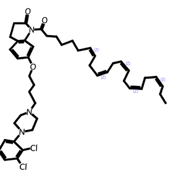 CC/C=C\C/C=C\C/C=C\C/C=C\C/C=C\CCCCCC(=O)N1C(=O)CCc2ccc(OCCCCN3CCN(c4cccc(Cl)c4Cl)CC3)cc21